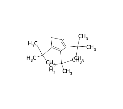 CC(C)(C)C1=[C]CC(C(C)(C)C)=C1C(C)(C)C